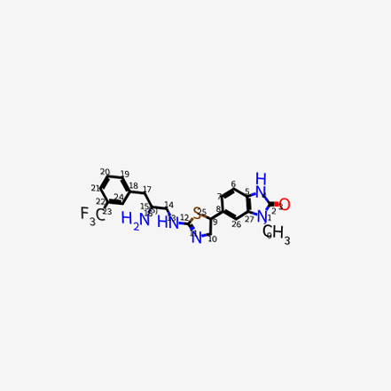 Cn1c(=O)[nH]c2ccc(C3CN=C(NC[C@@H](N)Cc4cccc(C(F)(F)F)c4)S3)cc21